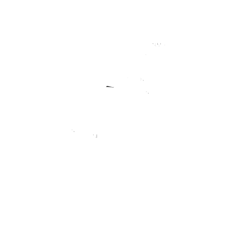 CNC(=O)[C@@H]1CCCNN1C(=O)[C@H](CCc1ccccc1-c1c[nH]cn1)C[C@H](CCCc1ccccc1)C(=O)O